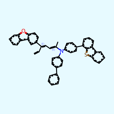 C=C/C(=C\C=C(/C)N(c1ccc(-c2ccccc2)cc1)c1ccc(-c2cccc3c2sc2ccccc23)cc1)c1ccc2oc3ccccc3c2c1